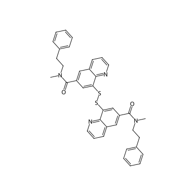 CN(CCc1ccccc1)C(=O)c1cc(SSc2cc(C(=O)N(C)CCc3ccccc3)cc3cccnc23)c2ncccc2c1